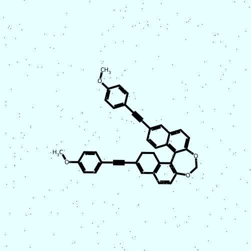 COc1ccc(C#CC2=Cc3ccc4c(c3CC2)-c2c(ccc3cc(C#Cc5ccc(OC)cc5)ccc23)OCO4)cc1